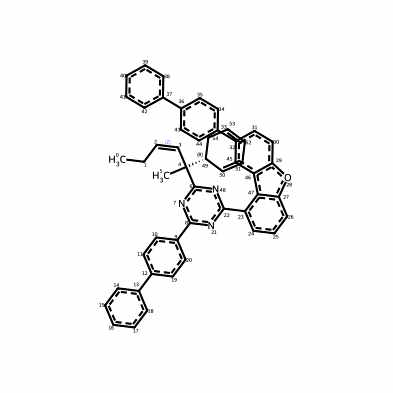 CC/C=C\C(C)(c1nc(-c2ccc(-c3ccccc3)cc2)nc(-c2cccc3oc4ccc(-c5ccc(-c6ccccc6)cc5)cc4c23)n1)[C@H]1C=CC=CC1